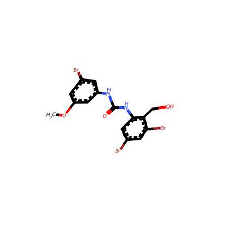 COc1cc(Br)cc(NC(=O)Nc2cc(Br)cc(Br)c2CO)c1